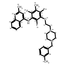 Cc1cccc(CN2CCN(CCOc3c(F)c(C)c(F)c(Nc4cc(C)nc5ccccc45)c3F)CC2)c1